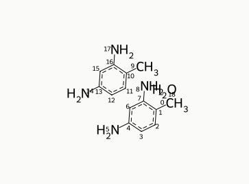 Cc1ccc(N)cc1N.Cc1ccc(N)cc1N.O